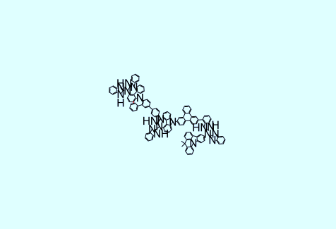 CC1(C)c2ccccc2-n2c3ccc(N(c4nc5ccccc5[nH]4)c4nc5cccc(-c6ccc7c8ccc(-n9c%10ccccc%10c%10c(N(c%11nc%12ccccc%12[nH]%11)c%11nc%12ccc(-c%13ccc(-n%14c%15ccccc%15c%15c(N(c%16nc%17ccccc%17[nH]%16)c%16nc%17ccccc%17[nH]%16)cccc%15%14)c(-c%14ccccc%14)c%13)cc%12[nH]%11)cccc%109)cc8c8ccccc8c7c6)c5[nH]4)cc3c3cccc1c32